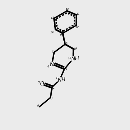 CCC(=O)NC1=NCC(c2ccccc2)CN1